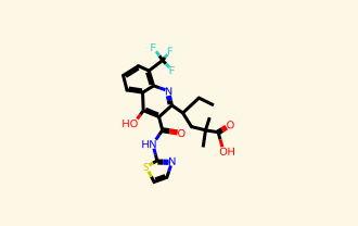 CCC(CC(C)(C)C(=O)O)c1nc2c(C(F)(F)F)cccc2c(O)c1C(=O)Nc1nccs1